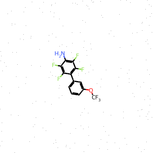 Nc1c(F)c(F)c(-c2cccc(OC(F)(F)F)c2)c(F)c1F